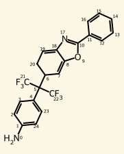 Nc1ccc(C(C2C=c3oc(-c4ccccc4)nc3=CC2)(C(F)(F)F)C(F)(F)F)cc1